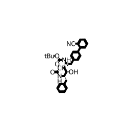 CC(C)(C)OC(=O)NN(Cc1ccc(-c2ccccc2C#N)cc1)C[C@H](O)[C@H](Cc1ccccc1)NC(=O)C(F)(F)F